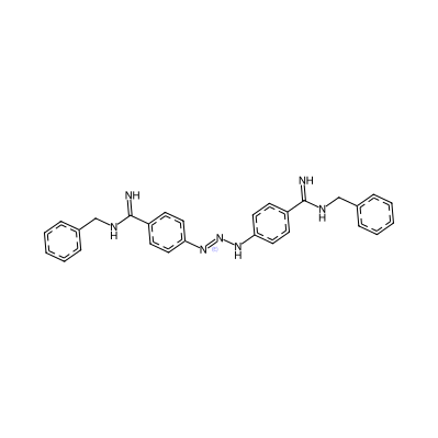 N=C(NCc1ccccc1)c1ccc(/N=N/Nc2ccc(C(=N)NCc3ccccc3)cc2)cc1